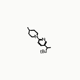 CC1CCN(c2ccc(C(C)C(C)(C)C)cn2)CC1